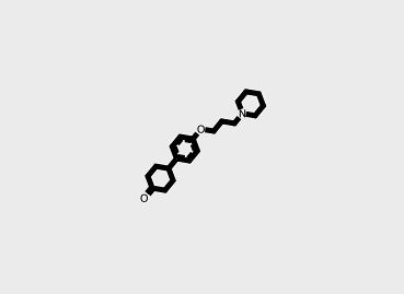 O=C1CCC(c2ccc(OCCCN3CCCCC3)cc2)CC1